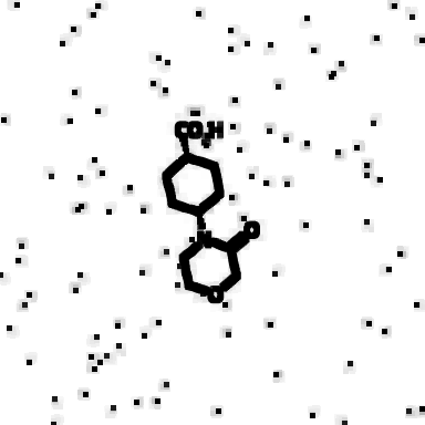 O=C1COCCN1[C@H]1CC[C@@H](C(=O)O)CC1